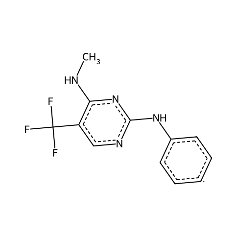 CNc1nc(Nc2cc[c]cc2)ncc1C(F)(F)F